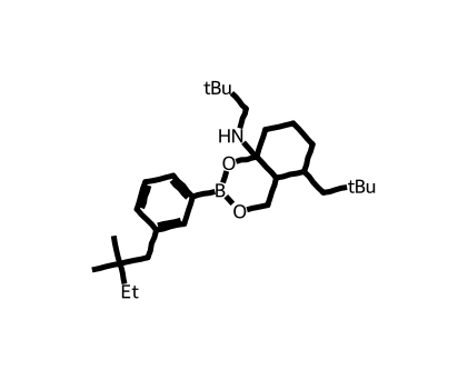 CCC(C)(C)Cc1cccc(B2OCC3C(CC(C)(C)C)CCCC3(NCC(C)(C)C)O2)c1